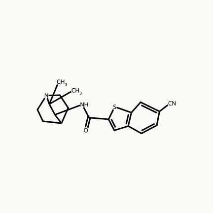 CC1(C)C(NC(=O)c2cc3ccc(C#N)cc3s2)C2CCN1CC2